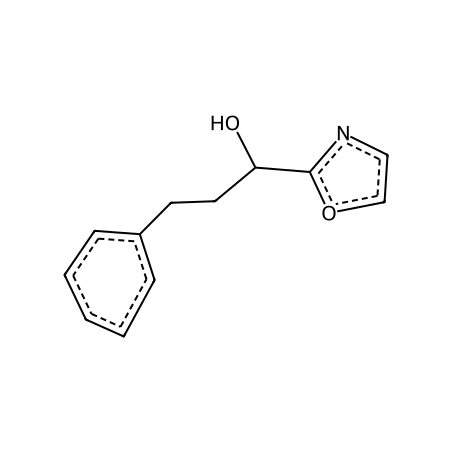 OC(CCc1ccccc1)c1ncco1